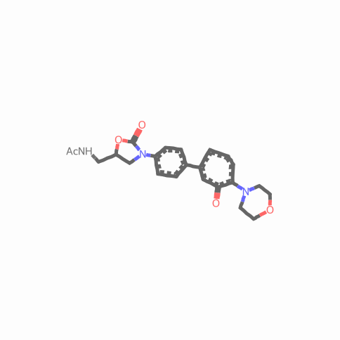 CC(=O)NCC1CN(c2ccc(-c3cccc(N4CCOCC4)c(=O)c3)cc2)C(=O)O1